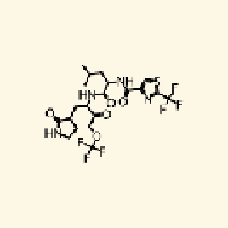 CC(C)CC(NC(=O)c1csc(C(F)(F)F)n1)C(=O)NC(CC1CCNC1=O)C(=O)COC(F)(F)F